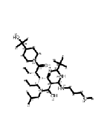 CC[C@@H](C[C@@H](CC)N(CC(C)C)C(O)[C@H]1C=NC(C(C)(C)C)NC1NCCCOC)C(=O)N1CCC(C(C)(C)O)CC1